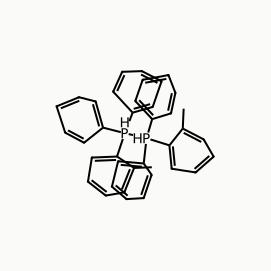 Cc1ccccc1[PH](c1ccccc1)(c1ccccc1)[PH](c1ccccc1)(c1ccccc1)c1ccccc1C